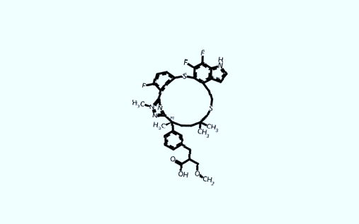 COCC(Cc1cccc([C@@]2(C)CCC(C)(C)CSCCc3c(c(F)c(F)c4[nH]ccc34)Sc3ccc(F)c(c3)-c3nc2nn3C)c1)C(=O)O